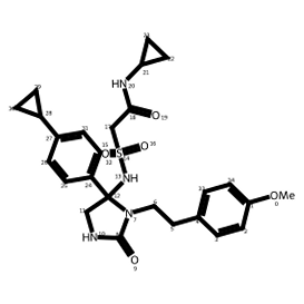 COc1ccc(CCN2C(=O)NCC2(NS(=O)(=O)CC(=O)NC2CC2)c2ccc(C3CC3)cc2)cc1